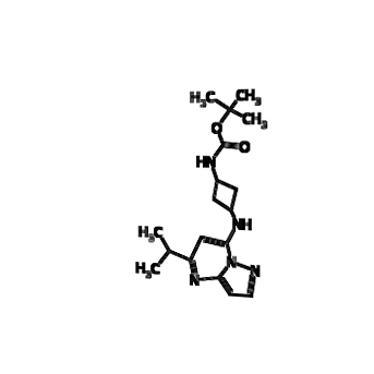 CC(C)c1cc(NC2CC(NC(=O)OC(C)(C)C)C2)n2nccc2n1